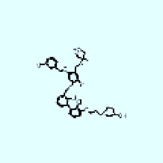 CC(CO)(CO)NCc1cc(Cl)c(OCc2cccc(-c3cccc(OCCCN4CCC(O)C4)c3Cl)c2Cl)cc1OCc1cccc(Cl)c1